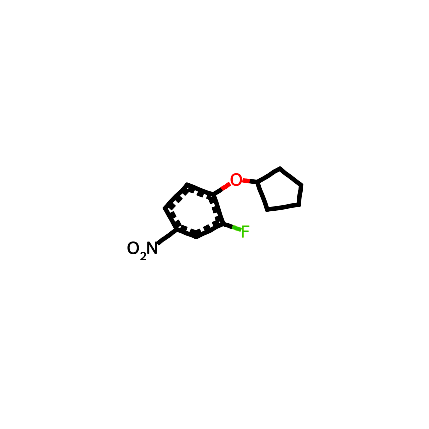 O=[N+]([O-])c1ccc(OC2CCCC2)c(F)c1